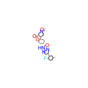 Cc1ccc(F)c(-c2cnc(NC(=O)[C@H]3CC[C@@]4(CC3)OC(=O)c3c[n+]([O-])ccc34)nc2)c1